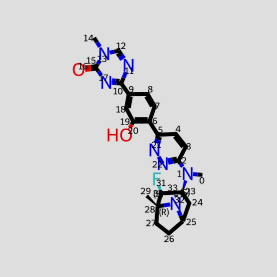 CN(c1ccc(-c2ccc(-c3ncn(C)c(=O)n3)cc2O)nn1)[C@H]1CC2CC[C@](C)([C@H]1F)N2C